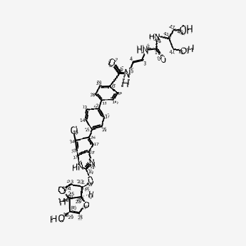 O=C(NCCNC(=O)c1ccc(-c2ccc(-c3cc4nc(O[C@@H]5CO[C@H]6[C@@H]5OC[C@H]6O)[nH]c4cc3Cl)cc2)cc1)NC(CO)CO